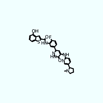 CN1CCCC1c1ccc(Nc2cc(-c3ccc(F)c(NC(=O)c4cc5c(O)cccc5s4)c3)n[nH]c2=O)nc1